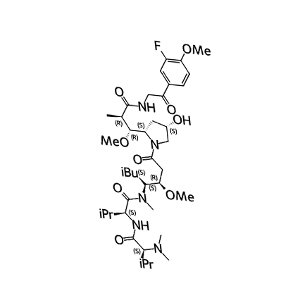 CC[C@H](C)[C@@H]([C@@H](CC(=O)N1C[C@@H](O)C[C@H]1[C@H](OC)[C@@H](C)C(=O)NCC(=O)c1ccc(OC)c(F)c1)OC)N(C)C(=O)[C@@H](NC(=O)[C@H](C(C)C)N(C)C)C(C)C